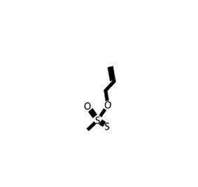 C=CCOS(C)(=O)=S